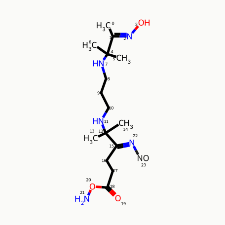 C/C(=N\O)C(C)(C)NCCCNC(C)(C)/C(CCC(=O)ON)=N/N=O